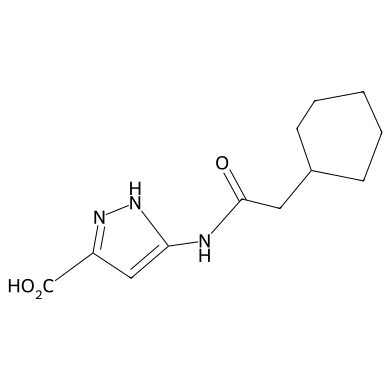 O=C(CC1CCCCC1)Nc1cc(C(=O)O)n[nH]1